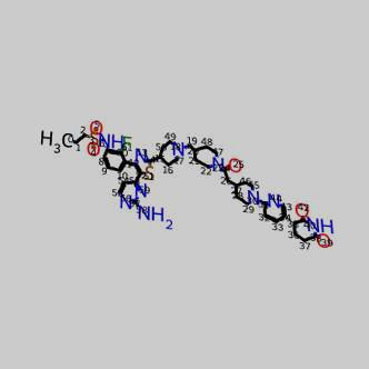 CCCS(=O)(=O)Nc1cccc(-c2nc(C3CCN(CC4CCN(C(=O)CC5CCN(c6ccc([C@H]7CCC(=O)NC7=O)cn6)CC5)CC4)CC3)sc2-c2ccnc(N)n2)c1F